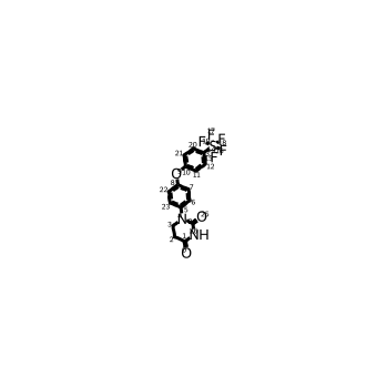 O=C1CCN(c2ccc(Oc3ccc(S(F)(F)(F)(F)F)cc3)cc2)C(=O)N1